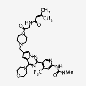 CNC(=O)Nc1cc(C(F)(F)F)c(-c2nc(N3CCOCC3)c3cc(CN4CCN(C(=O)CNC(=O)C=C(C)C)CC4)cn3n2)cn1